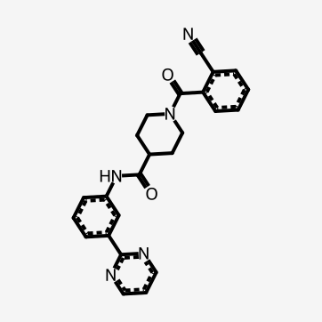 N#Cc1ccccc1C(=O)N1CCC(C(=O)Nc2cccc(-c3ncccn3)c2)CC1